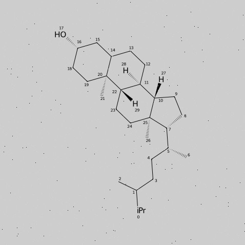 CC(C)C(C)CC[C@@H](C)[C@H]1CC[C@H]2[C@@H]3CCC4C[C@@H](O)CC[C@]4(C)[C@H]3CC[C@]12C